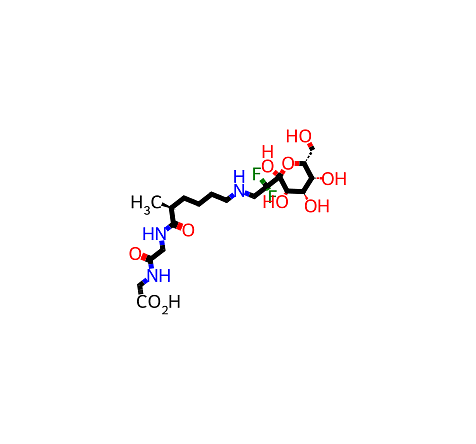 C[C@@H](CCCCNCC(F)(F)C1(O)O[C@H](CO)[C@H](O)[C@H](O)[C@H]1O)C(=O)NCC(=O)NCC(=O)O